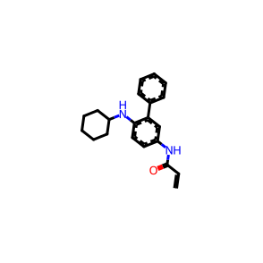 C=CC(=O)Nc1ccc(NC2CCCCC2)c(-c2ccccc2)c1